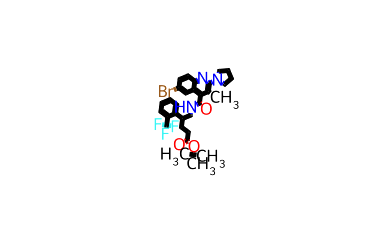 Cc1c(N2CCCC2)nc2ccc(Br)cc2c1C(=O)NCC(CCC(=O)OC(C)(C)C)c1ccccc1C(F)(F)F